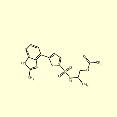 Cc1cc2c(-c3ccc(S(=O)(=O)N[C@H](C)COC(=O)C(F)(F)F)s3)ccnc2[nH]1